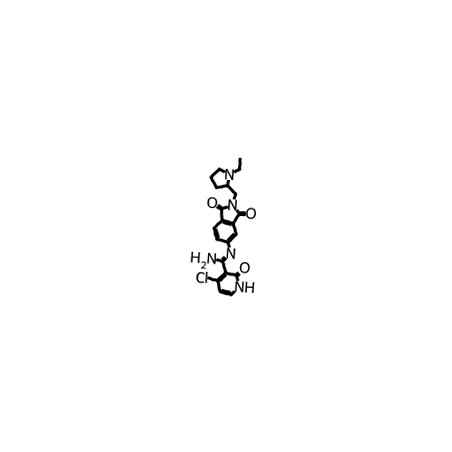 CCN1CCCC1CN1C(=O)c2ccc(/N=C(\N)c3c(Cl)cc[nH]c3=O)cc2C1=O